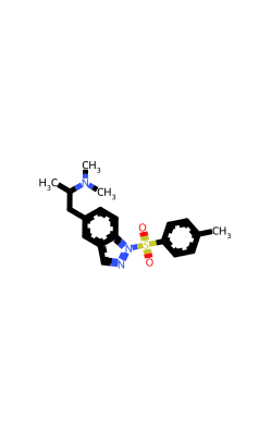 C[C](Cc1ccc2c(cnn2S(=O)(=O)c2ccc(C)cc2)c1)N(C)C